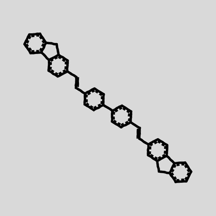 C(=C\c1ccc2c(c1)Cc1ccccc1-2)/c1ccc(-c2ccc(/C=C/c3ccc4c(c3)Cc3ccccc3-4)cc2)cc1